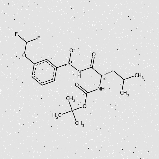 CC(C)C[C@H](NC(=O)OC(C)(C)C)C(=O)N[S+]([O-])c1cccc(OC(F)F)c1